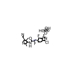 Cc1ncc(C#N)c(C)c1NC(=O)/C(F)=C/c1ccc2c(Cl)nn(COP(=O)(O)O)c2c1F